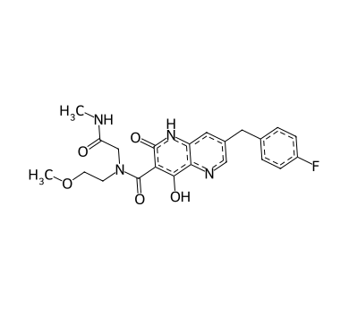 CNC(=O)CN(CCOC)C(=O)c1c(O)c2ncc(Cc3ccc(F)cc3)cc2[nH]c1=O